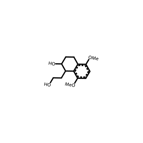 COc1ccc(OC)c2c1CCC(O)C2CCO